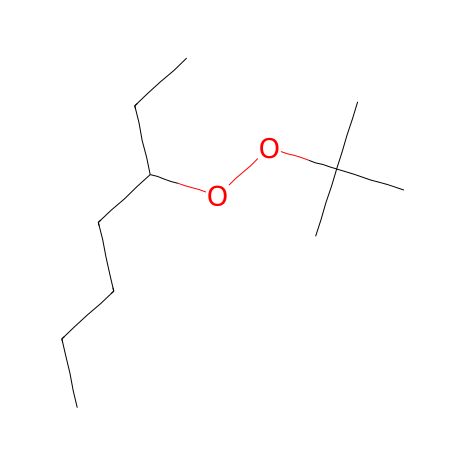 CCCCC(CC)OOC(C)(C)C